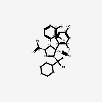 CC(O)(C1CCCCC1)[C@H]1N[C@@H](C(=O)O)[C@H](c2cccc(Cl)c2F)[C@@]1(C#N)c1ccc(Cl)cc1F